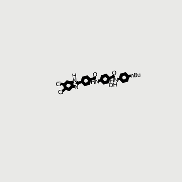 CCCCc1ccc(NC(=O)c2ccc(NC(=O)c3ccc(-c4nc5cc(Cl)c(Cl)cc5[nH]4)cc3)cc2O)cc1